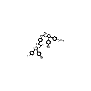 C=C(CC1=C(c2ccc(CC)cc2)C(c2ccc(CC)cc2)=NC1)Nc1ccc(NC(=C)CC2=C(c3ccc(CC)cc3)C(c3ccc(OC)cc3)=NC2)cc1